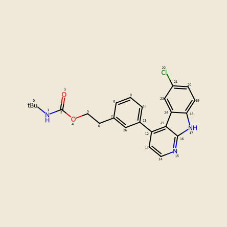 CC(C)(C)NC(=O)OCCc1cccc(-c2ccnc3[nH]c4ccc(Cl)cc4c23)c1